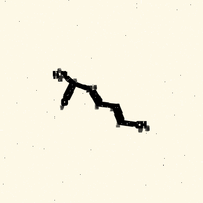 C/C=C/C=NC(N)=O